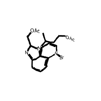 CC(=O)OCCC(C)N1C(COC(C)=O)N=C2C=CC=C3N(Br)C=CCC321